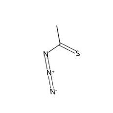 CC(=S)N=[N+]=[N-]